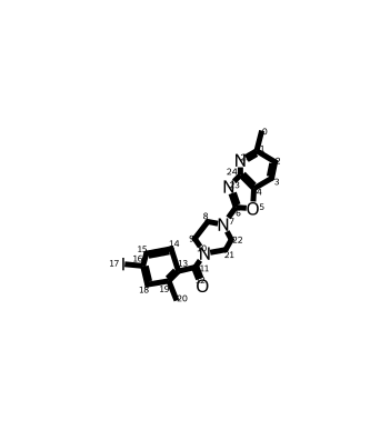 Cc1ccc2oc(N3CCN(C(=O)c4ccc(I)cc4C)CC3)nc2n1